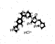 CC(C)C1CN(CC2CCCN2C(C)C)C(=O)N1c1ccn2ncc(-c3ccc(-c4nc[nH]n4)c(F)c3)c2n1.Cl